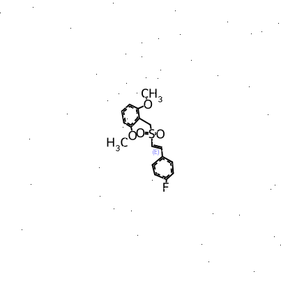 COc1cccc(OC)c1CS(=O)(=O)/C=C/c1ccc(F)cc1